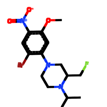 COc1cc(N2CCN(C(C)C)C(CF)C2)c(Br)cc1[N+](=O)[O-]